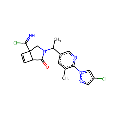 Cc1cc(C(C)N2CC3(C(=N)Cl)C=CC3C2=O)cnc1-n1cc(Cl)cn1